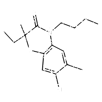 CCCCN1C(=O)C(C)(CC)Oc2cc(Cl)c(C)cc21